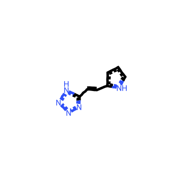 C(=Cc1nnn[nH]1)c1ccc[nH]1